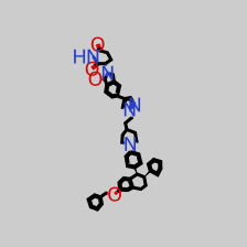 O=C1CCC(N2Cc3cc(-c4cnn(CCC5CCN(c6ccc([C@@H]7c8ccc(OCc9ccccc9)cc8CC[C@@H]7c7ccccc7)cc6)CC5)c4)ccc3C2=O)C(=O)N1